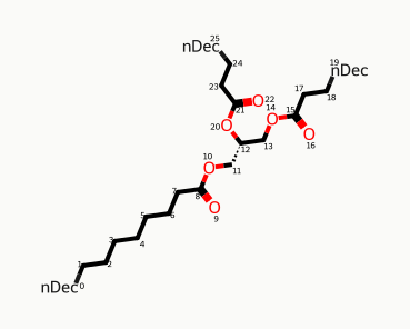 CCCCCCCCCCCCCCCCCC(=O)OC[C@@H](COC(=O)CCCCCCCCCCCC)OC(=O)CCCCCCCCCCCC